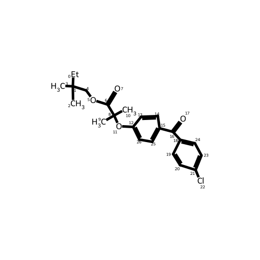 CCC(C)(C)COC(=O)C(C)(C)Oc1ccc(C(=O)c2ccc(Cl)cc2)cc1